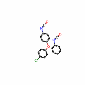 O=C=Nc1ccc(Oc2ccc(Cl)cc2)cc1.O=C=Nc1ccccc1